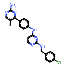 Cc1cnc(N)nc1-c1ccc(Nc2ccnc(NCc3ccc(Cl)cc3)n2)cc1